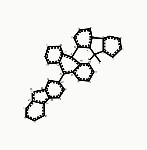 CC1(C)c2ccccc2-c2cccc(-c3c4ccccc4c(-c4ccc5c(c4)oc4ccccc45)c4ccccc34)c21